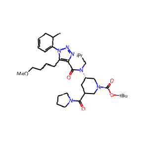 COCCCCc1c(C(=O)N(CC(C)C)[C@H]2CC(C(=O)N3CCCC3)CN(C(=O)OC(C)(C)C)C2)nnn1C1=CC=CCC1C